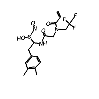 C=CC(=O)N(CC(=O)NC(Cc1ccc(C)c(C)c1)B(O)N=O)CC(F)(F)F